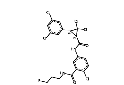 O=C(NCCCF)c1cc(NC(=O)[C@H]2[C@H](c3cc(Cl)cc(Cl)c3)C2(Cl)Cl)ccc1Cl